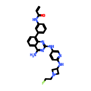 C=CC(=O)Nc1cccc(-c2cccc3c(N)nc(Nc4ccc(NC5CN(CCF)C5)nc4)nc23)c1